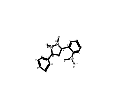 CC(=O)N(C)c1ccccc1C1CC(c2ccccc2)N(C)N1C